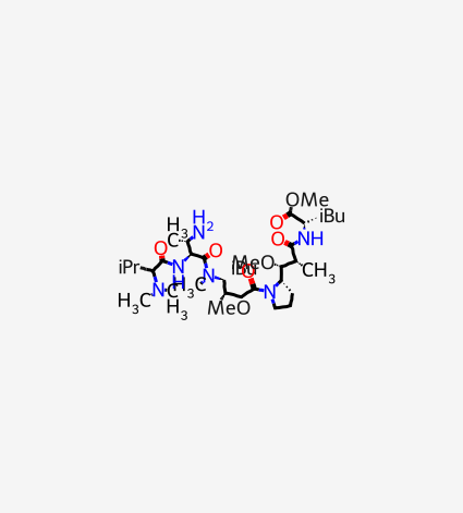 CC[C@H](C)[C@@H]([C@@H](CC(=O)N1CCC[C@H]1[C@H](OC)[C@@H](C)C(=O)N[C@H](C(=O)OC)[C@@H](C)CC)OC)N(C)C(=O)[C@@H](NC(=O)C(C(C)C)N(C)C)[C@H](C)N